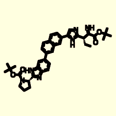 CC[C@@H](C(=N)C(=O)OC(C)(C)C)c1ncc(-c2ccc3ccc(-c4ccc5nc([C@@H]6CCCN6C(=O)OC(C)(C)C)[nH]c5c4)cc3c2)[nH]1